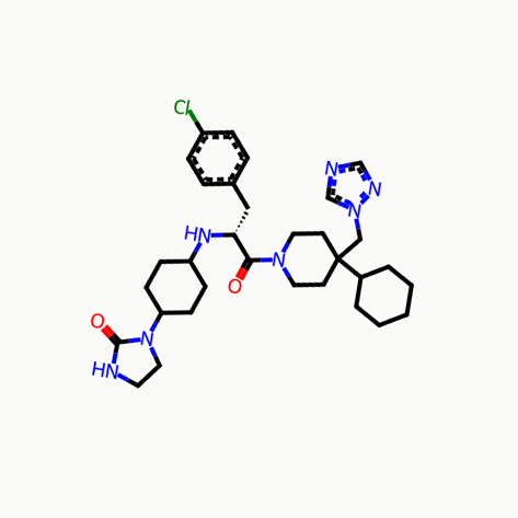 O=C([C@@H](Cc1ccc(Cl)cc1)NC1CCC(N2CCNC2=O)CC1)N1CCC(Cn2cncn2)(C2CCCCC2)CC1